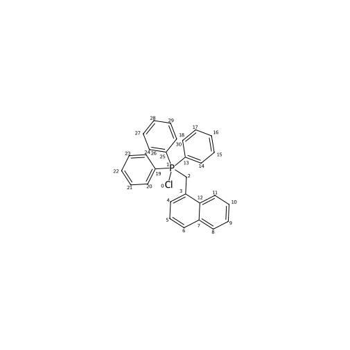 ClP(Cc1cccc2ccccc12)(c1ccccc1)(c1ccccc1)c1ccccc1